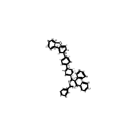 c1ccc(-c2nc(-c3ccccc3)c(-c3ccccc3)c(-c3ccc(-c4ccc(-c5ccc6oc7ccccc7c6c5)cc4)cc3)n2)cc1